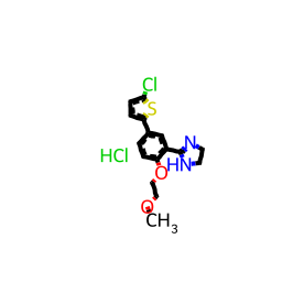 COCCOc1ccc(-c2ccc(Cl)s2)cc1C1=NCCN1.Cl